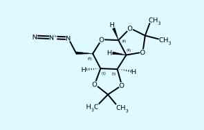 CC1(C)O[C@H]2[C@@H](O1)[C@@H](CN=[N+]=[N-])O[C@@H]1OC(C)(C)O[C@@H]12